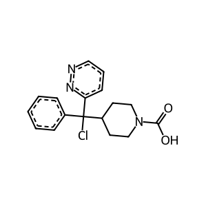 O=C(O)N1CCC(C(Cl)(c2ccccc2)c2cccnn2)CC1